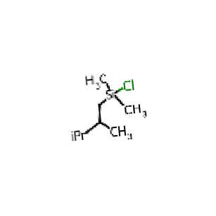 CC(C)C(C)C[Si](C)(C)Cl